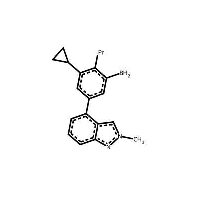 Bc1cc(-c2cccc3nn(C)cc23)cc(C2CC2)c1C(C)C